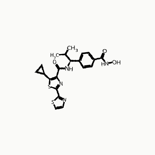 CC(C)[C@H](NC(=O)c1nc(-c2nccs2)sc1C1CC1)c1ccc(C(=O)NO)cc1